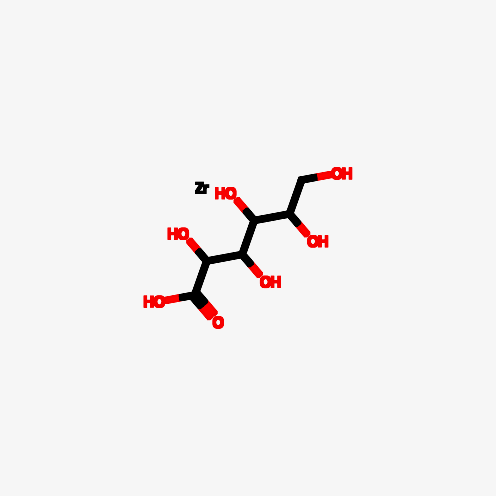 O=C(O)C(O)C(O)C(O)C(O)CO.[Zr]